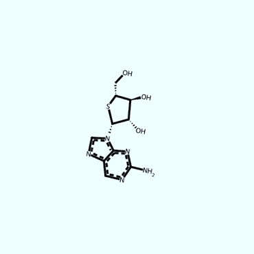 Nc1ncc2ncn([C@@H]3S[C@H](CO)[C@@H](O)[C@@H]3O)c2n1